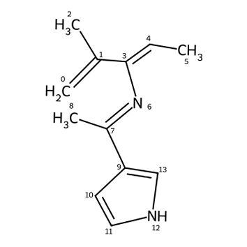 C=C(C)C(=C/C)/N=C(\C)c1cc[nH]c1